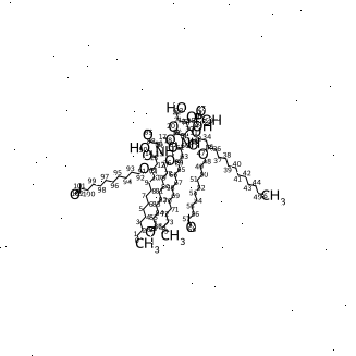 CCCCCCCCCCC[C@H](CC(=O)N[C@@H](CO[C@@H]1OC(CO)[C@@H](OP(=O)(O)O)C(OC(=O)C[C@@H](CCCCCCCCCCC)OCCCCCCCCCI=O)[C@@H]1NC(=O)C[C@@H](CCCCCCCCCCC)OCCCCCCCCCI=O)C(=O)O)OCCCCCCCCCI=O